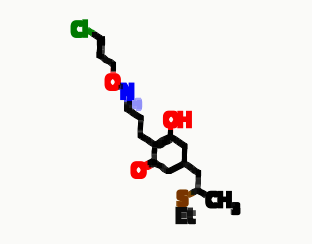 CCSC(C)CC1CC(=O)C(CC/C=N/OCC=CCl)=C(O)C1